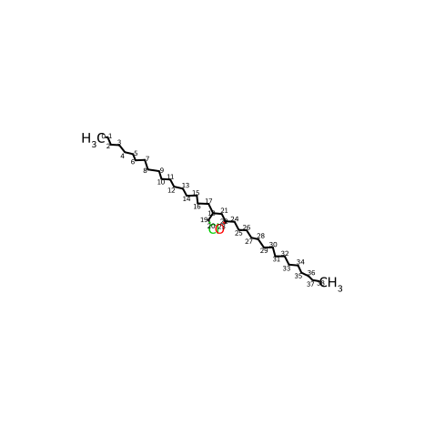 CCCCCCCCCCCCCCCCCCC(CCl)CC(=O)CCCCCCCCCCCCCCC